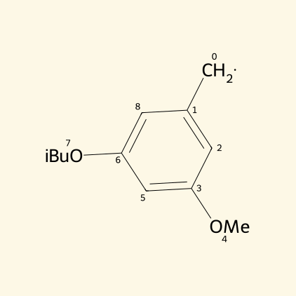 [CH2]c1cc(OC)cc(OCC(C)C)c1